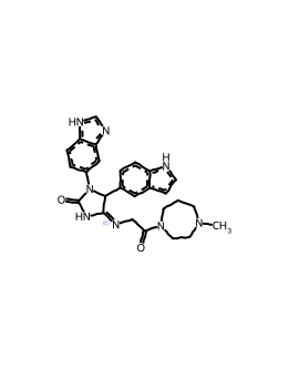 CN1CCCN(C(=O)C/N=C2/NC(=O)N(c3ccc4[nH]cnc4c3)C2c2ccc3[nH]ccc3c2)CC1